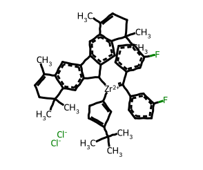 CC1=CCC(C)(C)c2cc3c(cc21)-c1cc2c(cc1[CH]3[Zr+2]([C]1=CC(C(C)(C)C)=CC1)=[C](c1cccc(F)c1)c1cccc(F)c1)C(C)(C)CC=C2C.[Cl-].[Cl-]